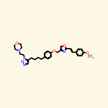 FC(F)(F)Oc1ccc(/C=C/c2nc(COc3ccc(CCCCc4cnnn4CCN4CCOCC4)cc3)co2)cc1